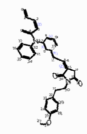 C=C/C=C\C(=C)N(C(/C=C\C)=C/C=C/C=C1/CC(=O)N(CCc2ccc(OC)cc2)C1=O)c1ccccc1